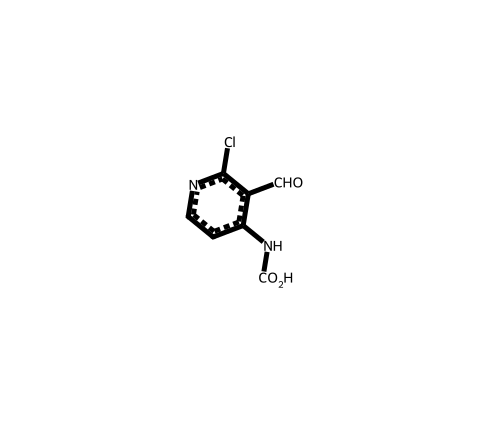 O=Cc1c(NC(=O)O)ccnc1Cl